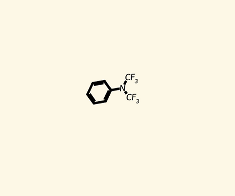 FC(F)(F)N(c1ccccc1)C(F)(F)F